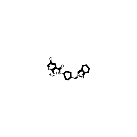 Cc1ncc(Cl)cc1C(=O)N[C@H]1CC[C@H](Cn2cc3c(n2)CCCC3)CC1